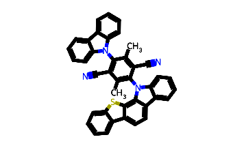 Cc1c(C#N)c(-n2c3ccccc3c3ccc4c5ccccc5sc4c32)c(C)c(C#N)c1-n1c2ccccc2c2ccccc21